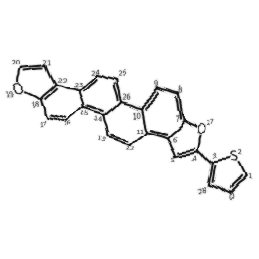 c1csc(-c2cc3c(ccc4c3ccc3c5ccc6occc6c5ccc43)o2)c1